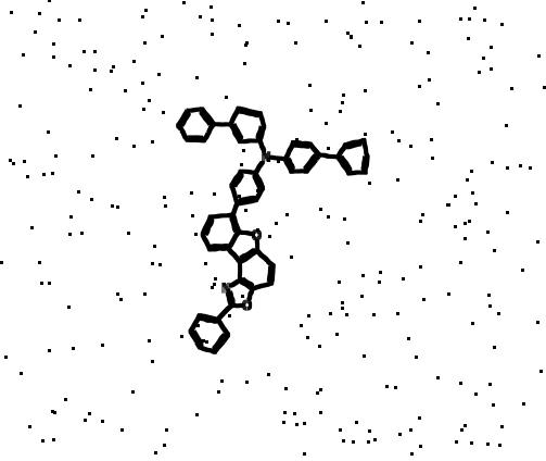 c1ccc(-c2ccc(N(c3ccc(-c4cccc5c4oc4ccc6oc(-c7ccccc7)nc6c45)cc3)c3cccc(-c4ccccc4)c3)cc2)cc1